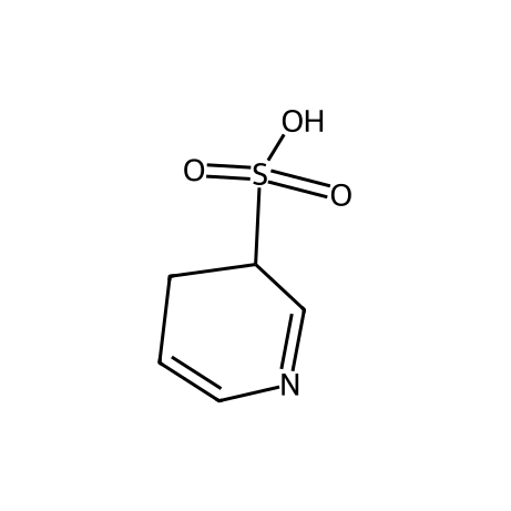 O=S(=O)(O)C1C=NC=CC1